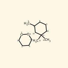 C1CCOOC1.CC1CCCC(C)(C)C1